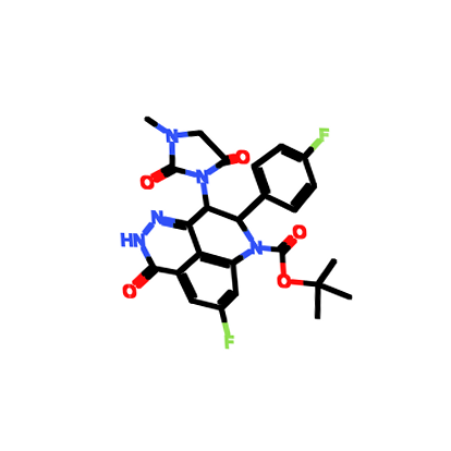 CN1CC(=O)N(C2c3n[nH]c(=O)c4cc(F)cc(c34)N(C(=O)OC(C)(C)C)C2c2ccc(F)cc2)C1=O